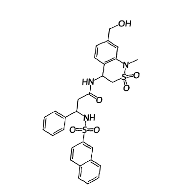 CN1c2cc(CO)ccc2C(NC(=O)CC(NS(=O)(=O)c2ccc3ccccc3c2)c2ccccc2)CS1(=O)=O